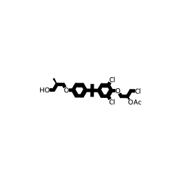 CC(=O)O[C@H](CCl)COc1c(Cl)cc(C(C)(C)c2ccc(OC[C@H](C)CO)cc2)cc1Cl